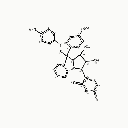 COc1ccc(COC(c2ccccc2)(c2ccc(OC)cc2)C2OC(n3ccc(=O)[nH]c3=O)C(O)C2O)cc1